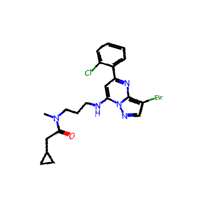 CN(CCCNc1cc(-c2ccccc2Cl)nc2c(Br)cnn12)C(=O)CC1CC1